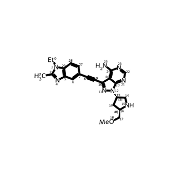 CCn1c(C)nc2cc(C#Cc3nn([C@@H]4CN[C@@H](COC)C4)c4ncnc(N)c34)ccc21